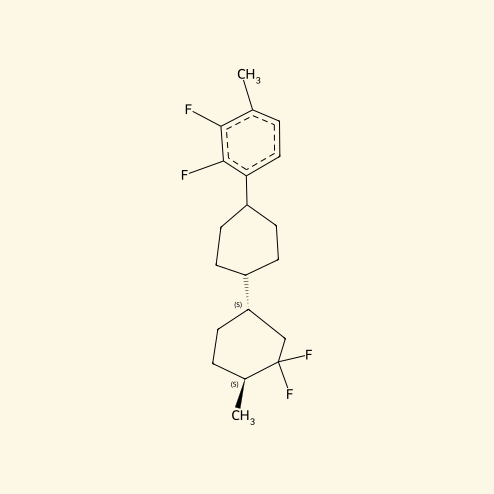 Cc1ccc(C2CCC([C@H]3CC[C@H](C)C(F)(F)C3)CC2)c(F)c1F